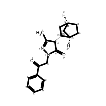 CC1=NN(CC(=O)c2ccccc2)C(=O)C1[C@@H]1C[C@H]2CC[C@@H]1C2